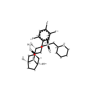 N[C@H](Cc1cc(F)c(F)cc1F)[C@H]1C[C@H]2CC[C@@H](C1)N2C(=O)CCS(=O)(=O)CC1CCCCO1